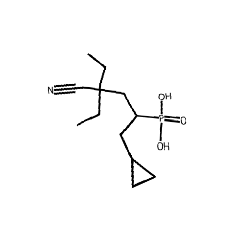 CCC(C#N)(CC)CC(CC1CC1)P(=O)(O)O